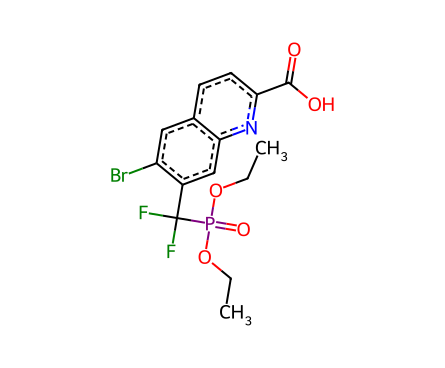 CCOP(=O)(OCC)C(F)(F)c1cc2nc(C(=O)O)ccc2cc1Br